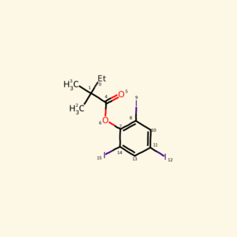 CCC(C)(C)C(=O)Oc1c(I)cc(I)cc1I